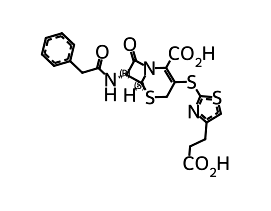 O=C(O)CCc1csc(SC2=C(C(=O)O)N3C(=O)[C@@H](NC(=O)Cc4ccccc4)[C@@H]3SC2)n1